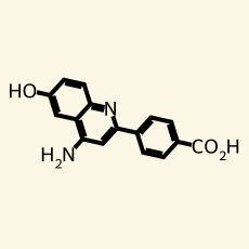 Nc1cc(-c2ccc(C(=O)O)cc2)nc2ccc(O)cc12